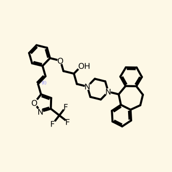 OC(COc1ccccc1/C=C/c1cc(C(F)(F)F)no1)CN1CCN(C2c3ccccc3CCc3ccccc32)CC1